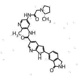 Cc1ncc(NC(=O)CN2CCC[C@@H]2C)cc1NC(=O)c1cnc2[nH]c(-c3ccc4c(c3)C(=O)NC4)cc2c1